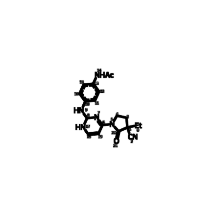 CCC1(C#N)CCN(C2=NC(Nc3ccc(NC(C)=O)cc3)NC=C2)C1=O